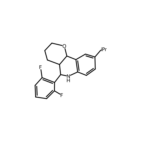 CC(C)c1ccc2c(c1)C1OCCCC1C(c1c(F)cccc1F)N2